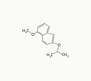 COc1cccc2cc(OC(C)C)ccc12